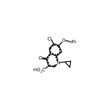 CCCOc1cc2c(cc1Cl)c(=O)c(C(=O)O)cn2C1CC1